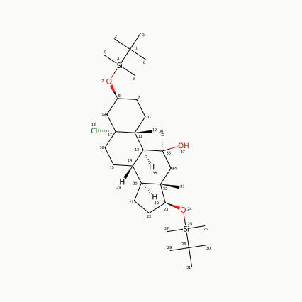 CC(C)(C)[Si](C)(C)O[C@H]1CC[C@]2(C)[C@@H]3[C@@H](CC[C@@]2(Cl)C1)[C@@H]1CC[C@H](O[Si](C)(C)C(C)(C)C)[C@@]1(C)C[C@]3(C)O